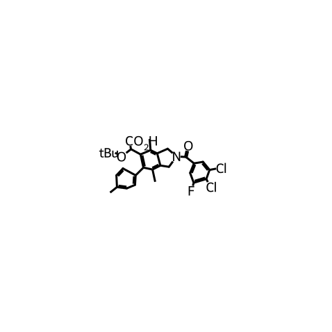 Cc1ccc(-c2c(C)c3c(c(C)c2C(OC(C)(C)C)C(=O)O)CN(C(=O)c2cc(F)c(Cl)c(Cl)c2)C3)cc1